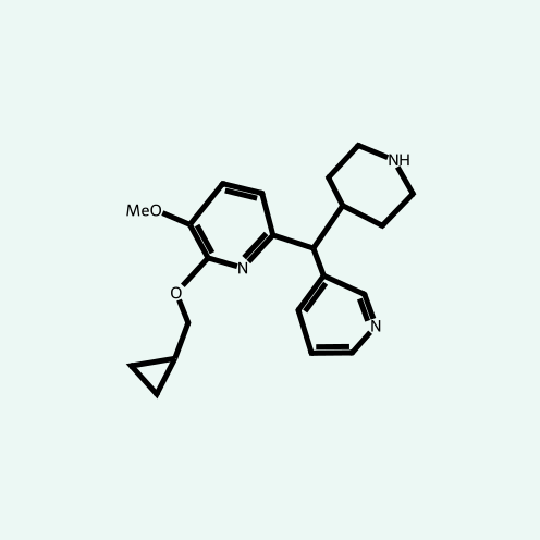 COc1ccc([C](c2cccnc2)C2CCNCC2)nc1OCC1CC1